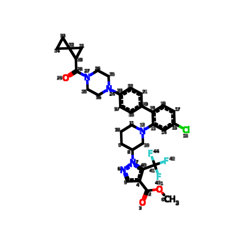 COC(=O)c1cnn(C2CCCN(c3cc(Cl)ccc3-c3ccc(N4CCN(C(=O)C5CC56CC6)CC4)cc3)C2)c1C(F)(F)F